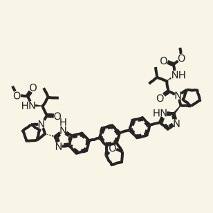 COC(=O)N[C@H](C(=O)N1C2CCC(C2)[C@H]1c1ncc(-c2ccc(-c3ccc(-c4ccc5nc([C@@H]6C7CCC(C7)N6C(=O)[C@@H](NC(=O)OC)C(C)C)[nH]c5c4)c4c3C3CCC4O3)cc2)[nH]1)C(C)C